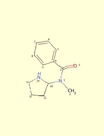 CN(C(=O)c1cc[c]cc1)C1CCCN1